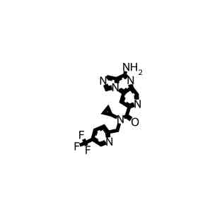 Nc1nc2cnc(C(=O)N(Cc3ccc(C(F)(F)F)cn3)C3CC3)cc2n2cncc12